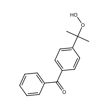 CC(C)(OO)c1ccc(C(=O)c2ccccc2)cc1